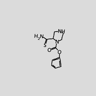 NC(=S)C1CNCCN1C(=O)Oc1ccccc1